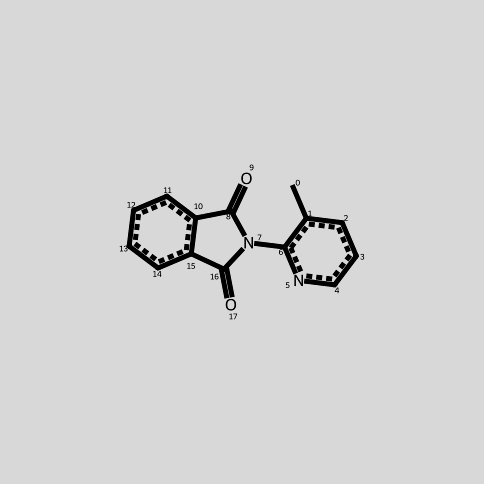 Cc1cccnc1N1C(=O)c2ccccc2C1=O